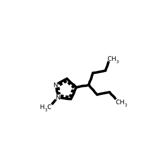 CCCC(CCC)c1cnn(C)c1